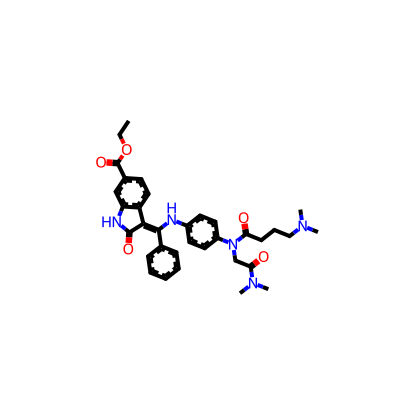 CCOC(=O)c1ccc2c(c1)NC(=O)/C2=C(/Nc1ccc(N(CC(=O)N(C)C)C(=O)CCCN(C)C)cc1)c1ccccc1